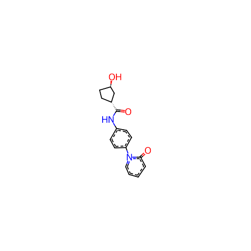 O=C(Nc1ccc(-n2ccccc2=O)cc1)[C@@H]1CC[C@@H](O)C1